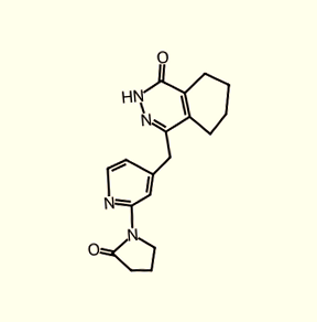 O=C1CCCN1c1cc(Cc2n[nH]c(=O)c3c2CCCC3)ccn1